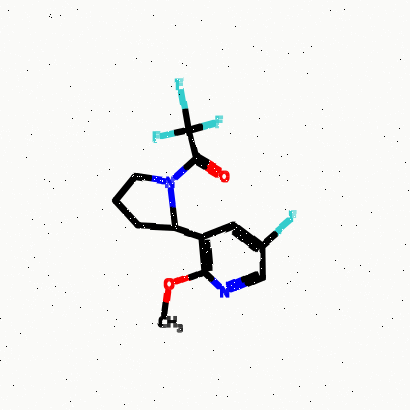 COc1ncc(F)cc1C1CCCN1C(=O)C(F)(F)F